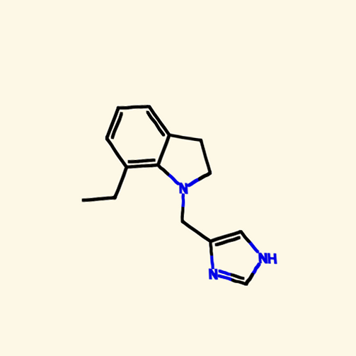 CCc1cccc2c1N(Cc1c[nH]cn1)CC2